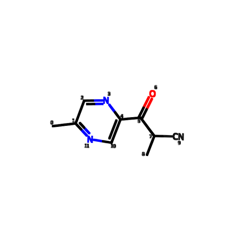 Cc1cnc(C(=O)C(C)C#N)cn1